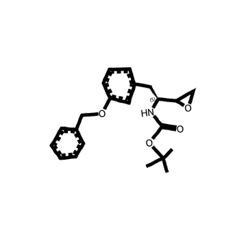 CC(C)(C)OC(=O)N[C@@H](Cc1cccc(OCc2ccccc2)c1)C1CO1